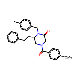 COc1ccc(C(=O)N2CC(=O)N(Cc3ccc(C)cc3)[C@@H](CCc3ccccc3)C2)cc1